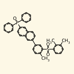 Cc1ccc(-c2ccc3cc(P(=O)(c4ccccc4)c4ccccc4)ccc3c2)cc1S(=O)(=O)c1cccc(C)c1C